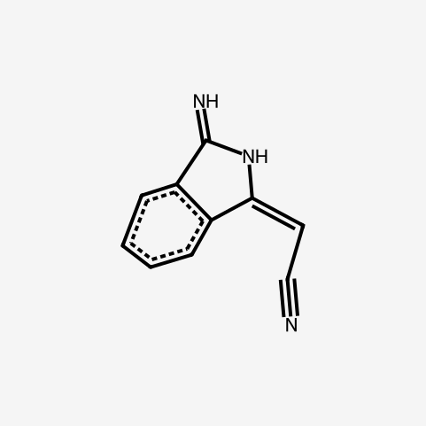 N#C/C=C1/NC(=N)c2ccccc21